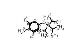 CC(C)[Si](Oc1cc(F)c(N)c(F)c1)(C(C)C)C(C)C